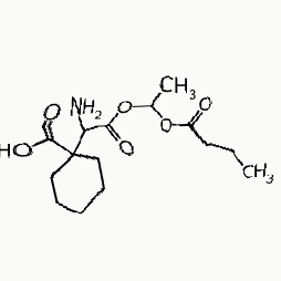 CCCC(=O)OC(C)OC(=O)C(N)C1(C(=O)O)CCCCC1